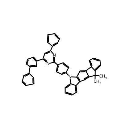 CC1(C)c2ccccc2-c2cc3c(cc21)c1ccccc1n3-c1ccc(-c2nc(-c3ccccc3)cc(-c3cccc(-c4ccccc4)c3)n2)cc1